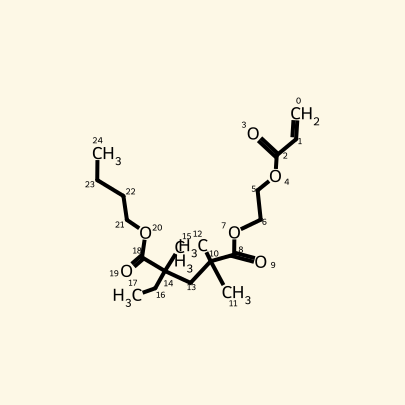 C=CC(=O)OCCOC(=O)C(C)(C)CC(C)(CC)C(=O)OCCCC